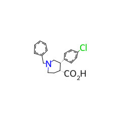 O=C(O)[C@@H]1CCN(Cc2ccccc2)C[C@@H]1c1ccc(Cl)cc1